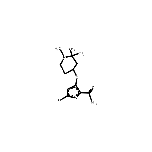 CN1CCC(Oc2cc(Cl)sc2C(N)=O)CC1(C)C